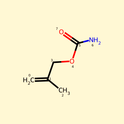 C=C(C)COC(N)=O